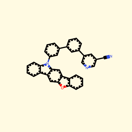 N#Cc1cncc(-c2cccc(-c3cccc(-n4c5ccccc5c5cc6oc7ccccc7c6cc54)c3)c2)c1